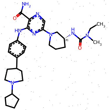 CCN(C)C(=O)N[C@@H]1CCCN(c2cnc(C(N)=O)c(Nc3ccc(C4CCN(C5CCCC5)CC4)cc3)n2)C1